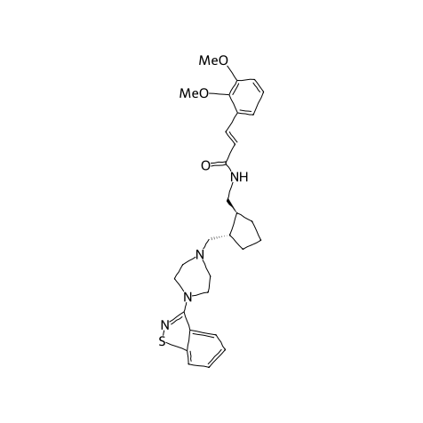 COc1cccc(/C=C/C(=O)NC[C@H]2CCC[C@@H]2CN2CCN(c3nsc4ccccc34)CC2)c1OC